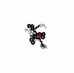 CCCCC[N+]1=C(/C=C/C2=C(/C=C3/N(CC)c4ccc5ccccc5c4C3(C)C)C(=C/C=C3/N(CCCCS(=O)(=O)O)c4ccc5ccccc5c4C3(C)C)/c3ccccc32)C(C)(C)c2c1ccc1ccccc21